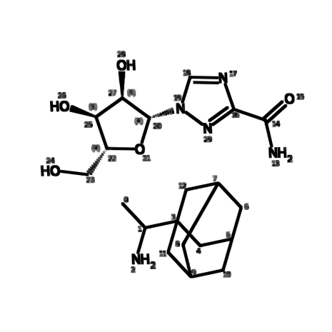 CC(N)C12CC3CC(CC(C3)C1)C2.NC(=O)c1ncn([C@@H]2O[C@H](CO)[C@@H](O)[C@H]2O)n1